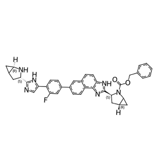 O=C(OCc1ccccc1)N1C2C[C@@H]2C[C@H]1c1nc2c(ccc3cc(-c4ccc(-c5cnc([C@@H]6CC7C[C@H]7N6)[nH]5)c(F)c4)ccc32)[nH]1